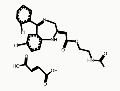 CC(=O)NCCOC(=O)C=C1CN=C(c2ccccc2Cl)c2cc(Cl)ccc2N1.O=C(O)C=CC(=O)O